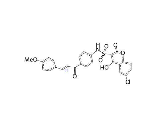 COc1ccc(/C=C/C(=O)c2ccc(NS(=O)(=O)c3c(O)c4cc(Cl)ccc4oc3=O)cc2)cc1